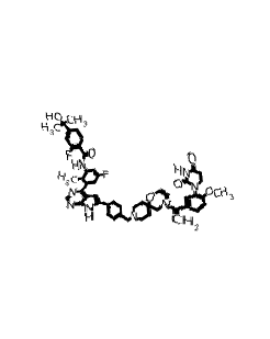 C=C(c1ccc(OC)c(N2CCC(=O)NC2=O)c1)N1CCOC2(CCN(Cc3ccc(-c4cc5c(-c6cc(F)cc(NC(=O)c7ccc(C(C)(C)O)cc7F)c6C)ncnc5[nH]4)cc3)CC2)C1